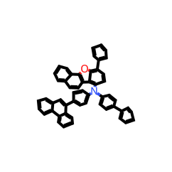 c1ccc(-c2ccc(N(c3ccc(-c4cc5ccccc5c5ccccc45)cc3)c3ccc(-c4ccccc4)c4oc5c6ccccc6ccc5c34)cc2)cc1